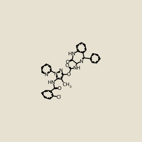 Cc1c(OC(=O)NC2N=C(c3ccccc3)c3ccccc3NC2=O)nn(-c2ccccn2)c1NC(=O)c1ccccc1Cl